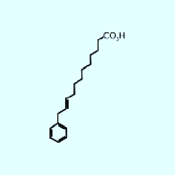 O=C(O)CCCCCCCCC=CCc1ccccc1